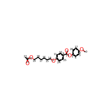 COc1ccc(OC(=O)c2ccc(OCCCCCCOC(C)=O)cc2)cc1